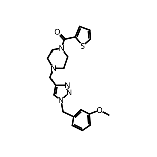 COc1cccc(Cn2cc(CN3CCN(C(=O)c4cccs4)CC3)nn2)c1